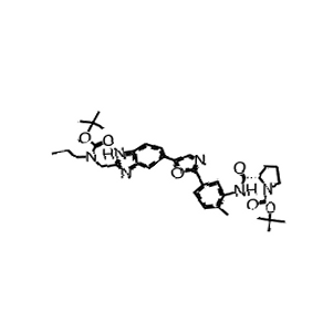 CCCN(Cc1nc2cc(-c3cnc(-c4ccc(C)c(NC(=O)[C@@H]5CCCN5C(=O)OC(C)(C)C)c4)o3)ccc2[nH]1)C(=O)OC(C)(C)C